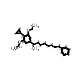 CCOc1cc([C@@H](C)CCCCCCCc2ccccc2)cc(OCC)c1C1CC1